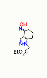 CCOC(=O)Cn1ncc2c1CCCC2=NO